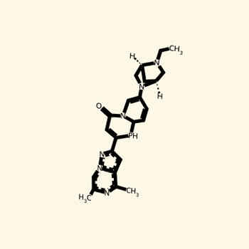 CCN1C[C@@H]2C[C@H]1CN2C1=CN2C(=O)C=C(c3cc4c(C)nc(C)cn4n3)PC2C=C1